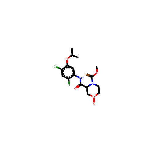 COC(=S)N1CC[O+]([O-])CC1C(=O)Nc1cc(OC(C)C)c(Cl)cc1F